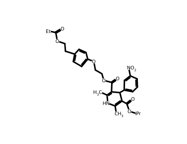 CCC(=O)OCCc1ccc(OCCOC(=O)C2=C(C)NC(C)=C(C(=O)OC(C)C)C2c2cccc([N+](=O)[O-])c2)cc1